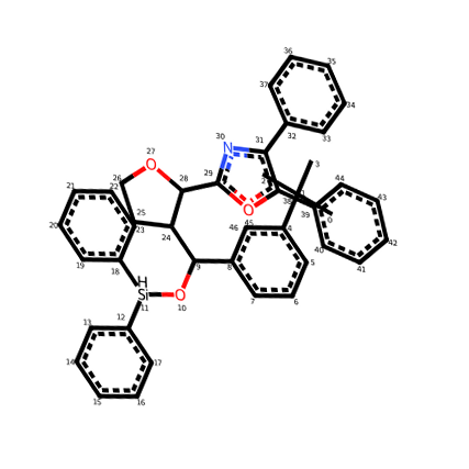 CC(C)(C)c1cccc(C(O[SiH](c2ccccc2)c2ccccc2)C2CCOC2c2nc(-c3ccccc3)c(-c3ccccc3)o2)c1